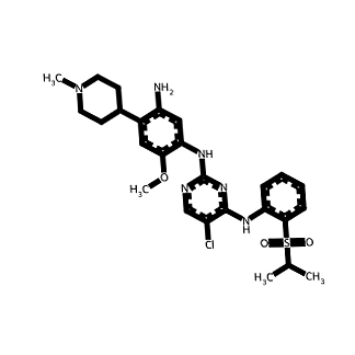 COc1cc(C2CCN(C)CC2)c(N)cc1Nc1ncc(Cl)c(Nc2ccccc2S(=O)(=O)C(C)C)n1